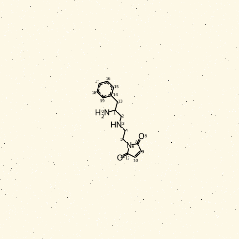 NC(CNCCN1C(=O)C=CC1=O)Cc1ccccc1